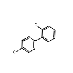 Fc1ccccc1-c1ccc(Cl)cc1